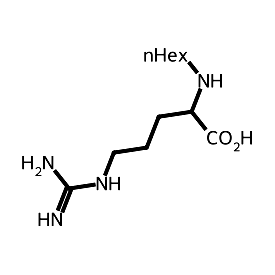 CCCCCCNC(CCCNC(=N)N)C(=O)O